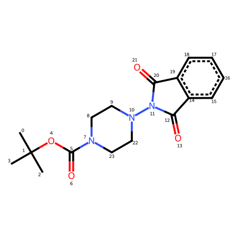 CC(C)(C)OC(=O)N1CCN(N2C(=O)c3ccccc3C2=O)CC1